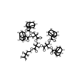 CC(COC(=O)C(C)(COC(=O)C12CC3CC(CC(C3)C1)C2)COC(=O)C12CC3CC(CC(C3)C1)C2)(COC(=O)C(C)(COC(=O)C12CC3CC(CC(C3)C1)C2)COC(=O)C12CC3CC(CC(C3)C1)C2)C(=O)OCCC(F)(F)C(F)F